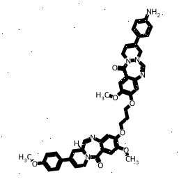 COc1ccc(C2=CCN3C(=O)c4cc(OC)c(OCCCOc5cc6c(cc5OC)C(=O)N5CC=C(c7ccc(N)cc7)CN5C=N6)cc4N=C[C@@H]3C2)cc1